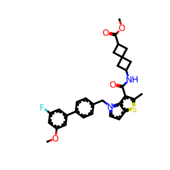 COC(=O)C1CC2(CC(NC(=O)c3c(C)sc4ccn(Cc5ccc(-c6cc(F)cc(OC)c6)cc5)c34)C2)C1